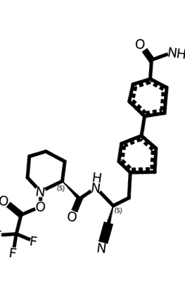 N#C[C@H](Cc1ccc(-c2ccc(C(N)=O)cc2)cc1)NC(=O)[C@@H]1CCCCN1OC(=O)C(F)(F)F